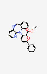 [CH2]CCOC(=O)C1OC(c2ccccc2)=CC=C1N1c2ccccc2C=Nc2cccnc21